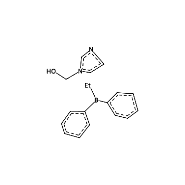 CCB(c1ccccc1)c1ccccc1.OCn1ccnc1